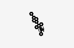 c1ccc(-c2cc3ccc4cc(-c5c6ccccc6c(-c6nnc(-c7ccccc7)o6)c6ccccc56)cc5ccc(c2)c3c45)cc1